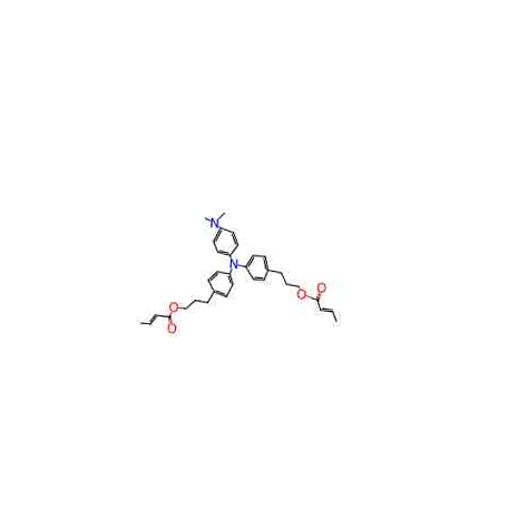 C/C=C/C(=O)OCCCc1ccc(N(c2ccc(CCCOC(=O)/C=C/C)cc2)c2ccc(N(C)C)cc2)cc1